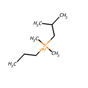 CCC[PH](C)(C)CC(C)C